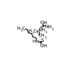 CCCCCCNC(O)=S.CN(C)C.NC(O)=S